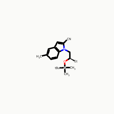 CC[C@H](Cn1c(C#N)cc2cc(C)ccc21)O[Si](C)(C)C(C)(C)C